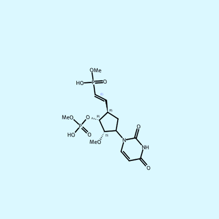 CO[C@H]1C(n2ccc(=O)[nH]c2=O)C[C@H](/C=C/P(=O)(O)OC)[C@H]1OP(=O)(O)OC